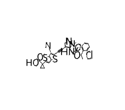 CC(OC(=O)Nc1c(C#Cc2sc3cc(C4(C(=O)O)CC4)sc3c2C#N)cnn1C)c1ccccc1Cl